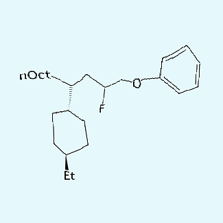 CCCCCCCCC(CC(F)COc1ccccc1)[C@H]1CC[C@H](CC)CC1